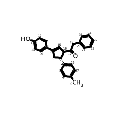 Cc1ccc([C@@H]2CC(c3ccc(O)cc3)=CC2C(=O)Cc2ccccc2)cc1